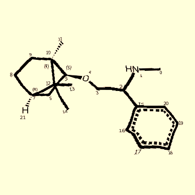 CNC(CO[C@H]1C[C@H]2CC[C@]1(C)C2(C)C)c1ccccc1